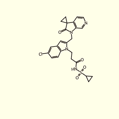 O=C(CCn1c(CN2C(=O)C3(CC3)c3ccncc32)cc2cc(Cl)ccc21)NS(=O)(=O)C1CC1